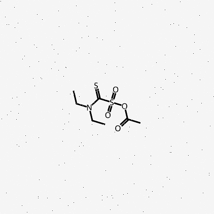 CCN(CC)C(=S)S(=O)(=O)OC(C)=O